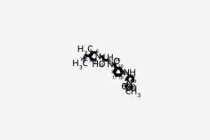 C/C=C\C1=C(C)CN(CC(O)CNC(=O)c2cccc(NC3CCN(S(C)(=O)=O)C3)c2)CC1